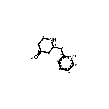 O=C1CCNC(Cc2ccccn2)C1